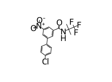 CC(C)(NC(=O)c1cc(-c2ccc(Cl)cc2)cc([N+](=O)[O-])c1)C(F)(F)F